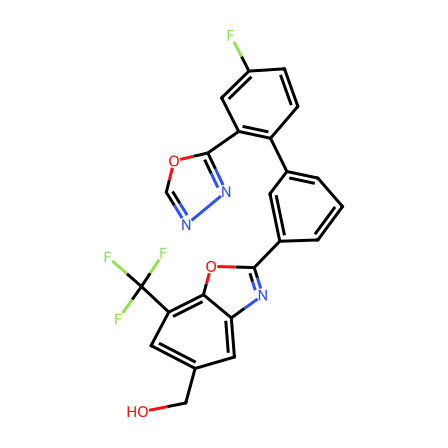 OCc1cc(C(F)(F)F)c2oc(-c3cccc(-c4ccc(F)cc4-c4nnco4)c3)nc2c1